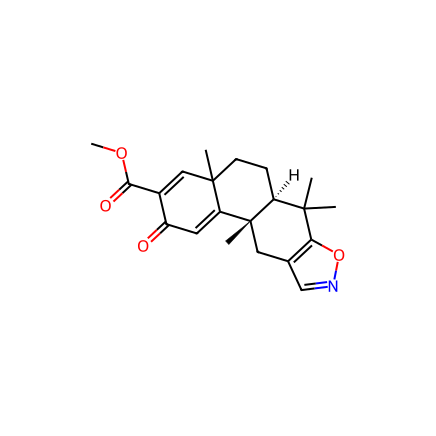 COC(=O)C1=CC2(C)CC[C@H]3C(C)(C)c4oncc4C[C@]3(C)C2=CC1=O